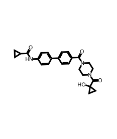 O=C(Nc1ccc(-c2ccc(C(=O)N3CCN(C(=O)C4(O)CC4)CC3)cc2)cc1)C1CC1